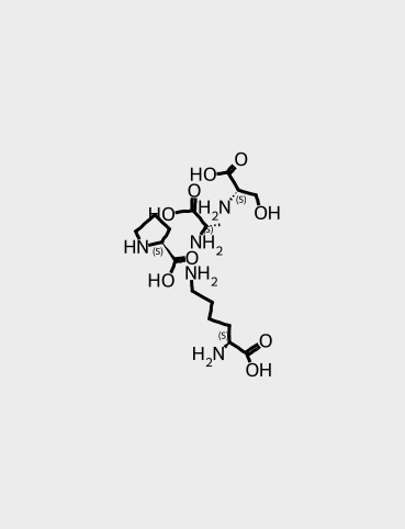 C[C@H](N)C(=O)O.NCCCC[C@H](N)C(=O)O.N[C@@H](CO)C(=O)O.O=C(O)[C@@H]1CCCN1